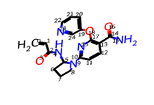 C=CC(=O)NC1CCCN1c1ccc(C(N)=O)c(Oc2cccnc2)n1